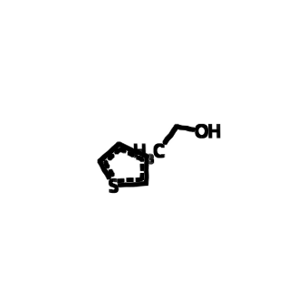 CCO.c1ccsc1